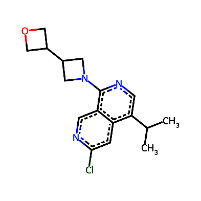 CC(C)c1cnc(N2CC(C3COC3)C2)c2cnc(Cl)cc12